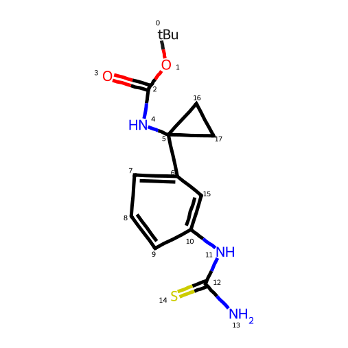 CC(C)(C)OC(=O)NC1(c2cccc(NC(N)=S)c2)CC1